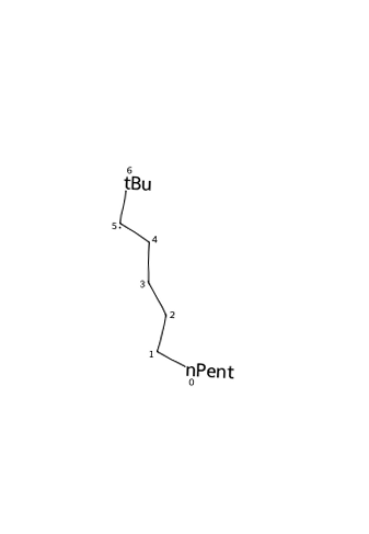 CCCCCCCCC[CH]C(C)(C)C